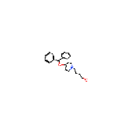 O=CCCCN1CCC(OC(c2ccccc2)c2ccccc2)CC1